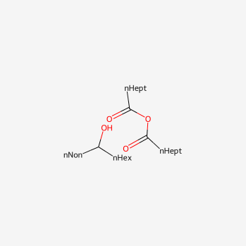 CCCCCCCC(=O)OC(=O)CCCCCCC.CCCCCCCCCC(O)CCCCCC